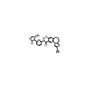 CC(C)N1C=NNC1c1cccc(NC(=O)c2cc3c(cc2F)CCCc2nc(C4CC4)cn2-3)n1